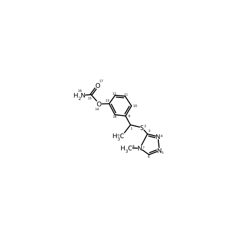 CC(Sc1nncn1C)c1cccc(OC(N)=O)c1